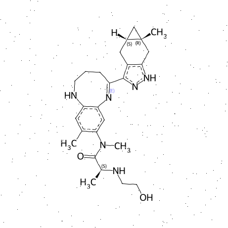 Cc1cc2c(cc1N(C)C(=O)[C@H](C)NCCO)/N=C(/c1n[nH]c3c1C[C@@H]1C[C@]1(C)C3)CCCN2